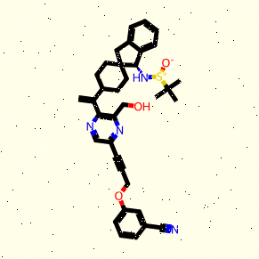 C=C(c1ncc(C#CCOc2cccc(C#N)c2)nc1CO)C1CCC2(CC1)Cc1ccccc1[C@H]2N[S+]([O-])C(C)(C)C